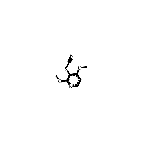 COc1ccnc(OC)c1SC#N